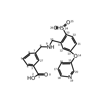 O=C(O)c1cccc(CNCc2cc(Oc3cccnc3)ccc2[SH](=O)=O)c1